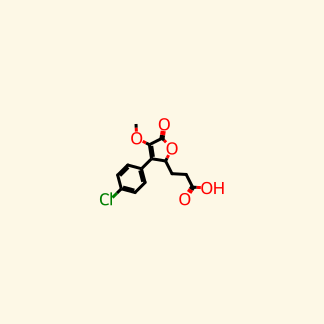 COC1=C(c2ccc(Cl)cc2)C(CCC(=O)O)OC1=O